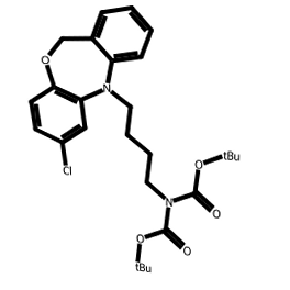 CC(C)(C)OC(=O)N(CCCCN1c2ccccc2COc2ccc(Cl)cc21)C(=O)OC(C)(C)C